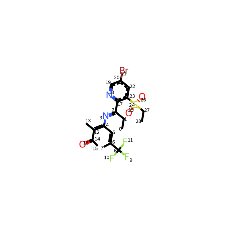 CC\C(=N/C(/C=C(\C)C(F)(F)F)=C(\C)C(C)=O)c1ncc(Br)cc1S(=O)(=O)CC